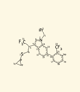 CC(C)Cn1cc(C(CSC2CC2)C(F)(F)F)c2ccc(-c3ccccc3C(F)(F)F)cc21